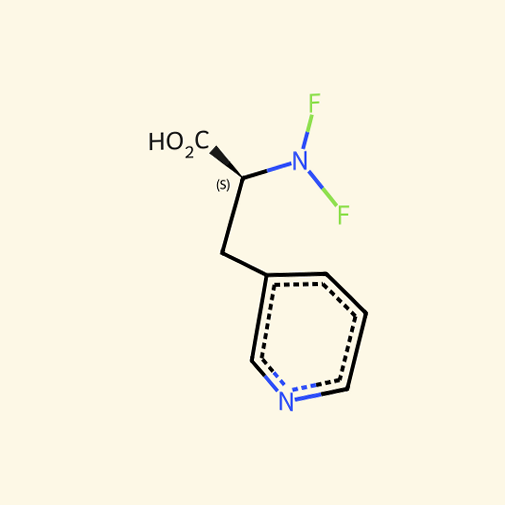 O=C(O)[C@H](Cc1cccnc1)N(F)F